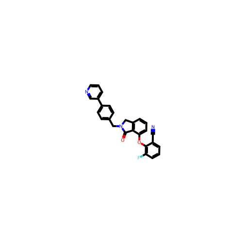 N#Cc1cccc(F)c1Oc1cccc2c1C(=O)N(Cc1ccc(-c3cccnc3)cc1)C2